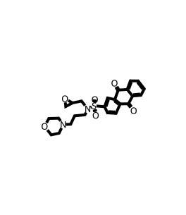 O=C1c2ccccc2C(=O)c2cc(S(=O)(=O)N(CCCN3CCOCC3)CC3CO3)ccc21